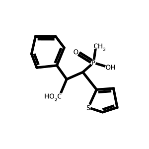 CP(=O)(O)C(c1cccs1)C(C(=O)O)c1ccccc1